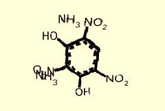 N.N.O=[N+]([O-])c1cc([N+](=O)[O-])c(O)c([N+](=O)[O-])c1O